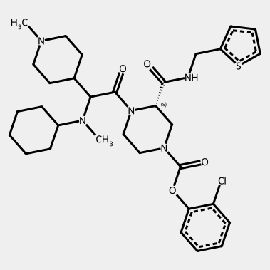 CN1CCC(C(C(=O)N2CCN(C(=O)Oc3ccccc3Cl)C[C@H]2C(=O)NCc2cccs2)N(C)C2CCCCC2)CC1